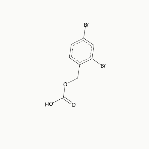 O=C(O)OCc1ccc(Br)cc1Br